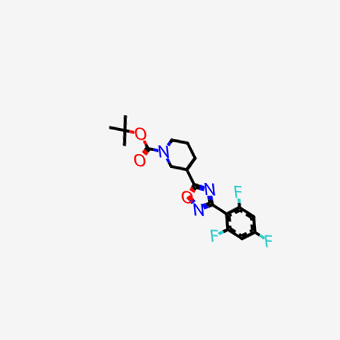 CC(C)(C)OC(=O)N1CCCC(c2nc(-c3c(F)cc(F)cc3F)no2)C1